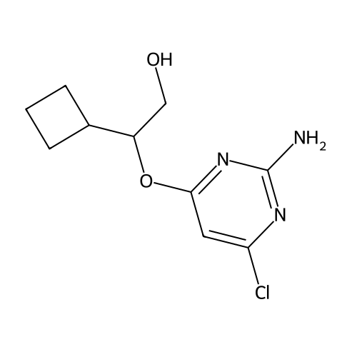 Nc1nc(Cl)cc(OC(CO)C2CCC2)n1